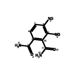 NC(=O)c1ccc(N=O)c(N=O)c1C(N)=O